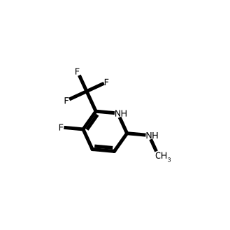 CNC1C=CC(F)=C(C(F)(F)F)N1